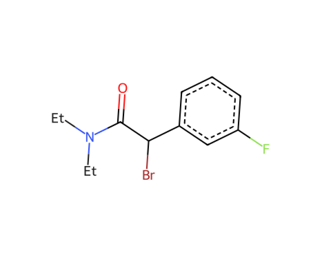 CCN(CC)C(=O)C(Br)c1cccc(F)c1